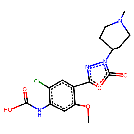 COc1cc(NC(=O)O)c(Cl)cc1-c1nn(C2CCN(C)CC2)c(=O)o1